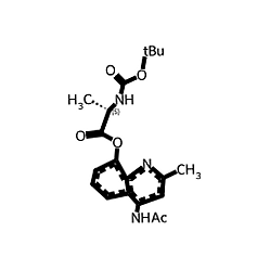 CC(=O)Nc1cc(C)nc2c(OC(=O)[C@H](C)NC(=O)OC(C)(C)C)cccc12